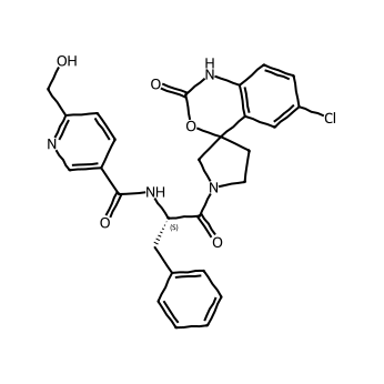 O=C1Nc2ccc(Cl)cc2C2(CCN(C(=O)[C@H](Cc3ccccc3)NC(=O)c3ccc(CO)nc3)C2)O1